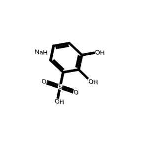 O=S(=O)(O)c1cccc(O)c1O.[NaH]